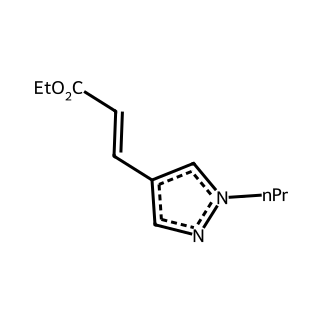 CCCn1cc(/C=C/C(=O)OCC)cn1